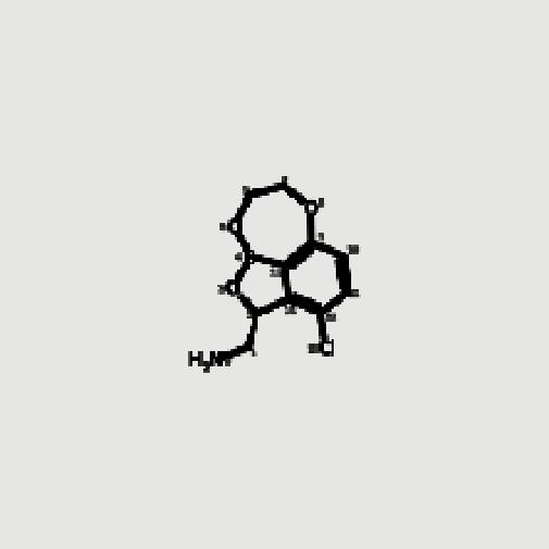 NC[C@H]1OB2OCCOc3ccc(Cl)c1c32